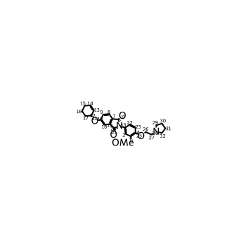 COc1cc(N2C(=O)c3ccc(OC4C=CCCC4)cc3C2=O)ccc1OCCN1CCCC1